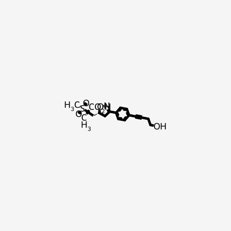 CC(C[C@H]1CC(c2ccc(C#CCCO)cc2)=NO1)(C(=O)O)S(C)(=O)=O